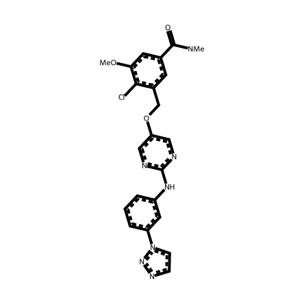 CNC(=O)c1cc(COc2cnc(Nc3cccc(-n4ccnn4)c3)nc2)c(Cl)c(OC)c1